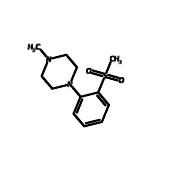 CN1CCN(c2ccccc2S(C)(=O)=O)CC1